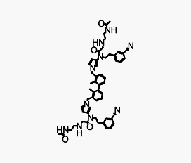 CC(=O)NCCNCC(=O)N(CCc1cccc(C#N)c1)c1ccn(Cc2cccc(-c3cccc(Cn4ccc(N(CCc5cccc(C#N)c5)C(=O)CNCCNC(C)=O)c4)c3C)c2C)c1